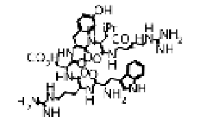 CC(C)C[C@H](NC(=O)[C@H](Cc1ccc(O)cc1)NC(=O)[C@H](CC(=O)O)NC(=O)[C@H](CCCNC(=N)N)NC(=O)[C@@H](N)Cc1c[nH]c2ccccc12)C(=O)N[C@@H](CCCNC(=N)N)C(=O)O